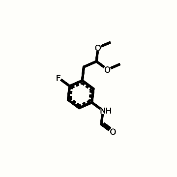 COC(Cc1cc(NC=O)ccc1F)OC